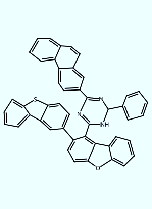 c1ccc(C2N=C(c3ccc4c(ccc5ccccc54)c3)N=C(c3c(-c4ccc5sc6ccccc6c5c4)ccc4oc5ccccc5c34)N2)cc1